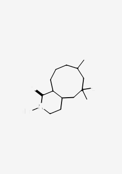 CCC1(C)CC(C)CCCC2C(=S)N(C(C)C)CCC2C1